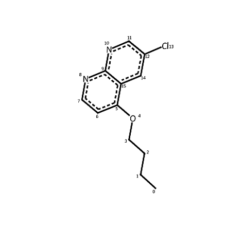 CCCCOc1ccnc2ncc(Cl)cc12